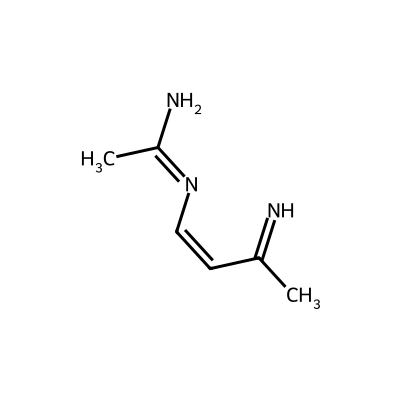 CC(=N)/C=C\N=C(/C)N